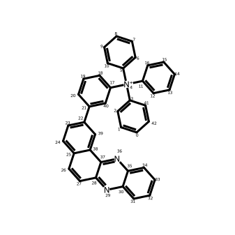 c1ccc([N+](c2ccccc2)(c2ccccc2)c2cccc(-c3ccc4ccc5nc6ccccc6nc5c4c3)c2)cc1